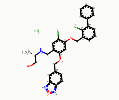 CCOC(=O)[C@@H](CO)NCc1cc(Br)c(OCc2cccc(-c3ccccc3)c2Br)cc1OCc1ccc2nonc2c1.Cl